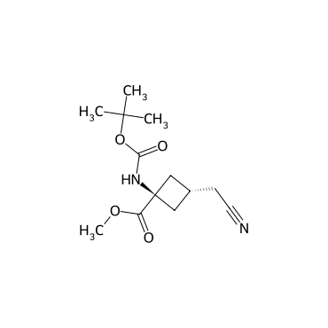 COC(=O)[C@]1(NC(=O)OC(C)(C)C)C[C@H](CC#N)C1